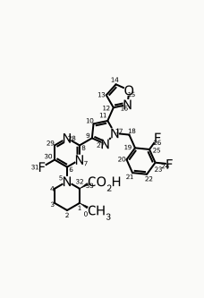 C[C@H]1CCCN(c2nc(-c3cc(-c4ccon4)n(Cc4cccc(F)c4F)n3)ncc2F)[C@H]1C(=O)O